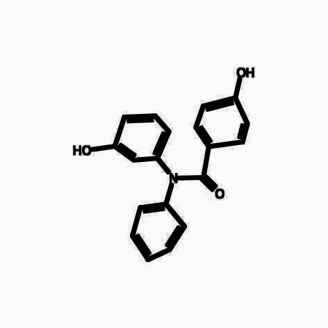 O=C(c1ccc(O)cc1)N(c1ccccc1)c1cccc(O)c1